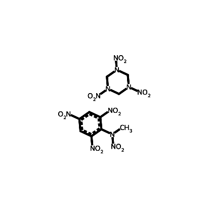 CN(c1c([N+](=O)[O-])cc([N+](=O)[O-])cc1[N+](=O)[O-])[N+](=O)[O-].O=[N+]([O-])N1CN([N+](=O)[O-])CN([N+](=O)[O-])C1